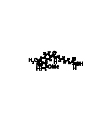 COc1ccc2[nH]c(C)c(Cc3ccc(C(=O)NCCCCCCC(=O)NO)cc3)c2c1